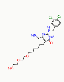 N=Cc1nc(NCc2ccc(Cl)c(Cl)c2)[nH]c(=O)c1CCCCCCOCCOCCO